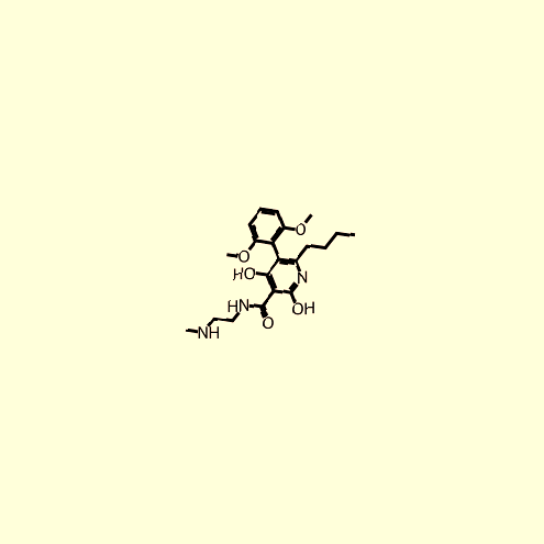 CCCCc1nc(O)c(C(=O)NCCNC)c(O)c1-c1c(OC)cccc1OC